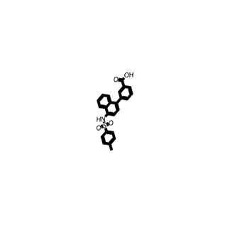 Cc1ccc(S(=O)(=O)Nc2ccc(-c3cccc(C(=O)O)c3)c3ccccc23)cc1